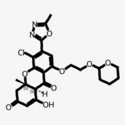 Cc1nnc(-c2cc(OCCOC3CCCCO3)c3c(c2Cl)O[C@@]2(C)CC(=O)C=C(O)[C@@H]2C3=O)o1